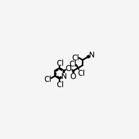 N#CC(Cl)CC(Cl)(Cl)C(=O)Oc1nc(Cl)c(Cl)cc1Cl